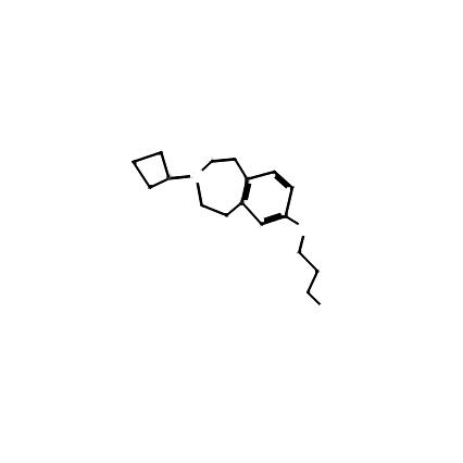 OCCCOc1ccc2c(c1)CCN(C1CCC1)CC2